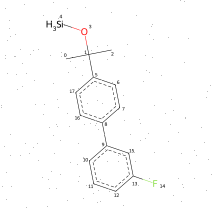 CC(C)(O[SiH3])c1ccc(-c2cccc(F)c2)cc1